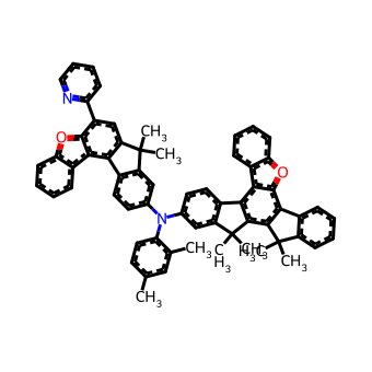 Cc1ccc(N(c2ccc3c(c2)C(C)(C)c2cc(-c4ccccn4)c4oc5ccccc5c4c2-3)c2ccc3c(c2)C(C)(C)c2c4c(c5oc6ccccc6c5c2-3)-c2ccccc2C4(C)C)c(C)c1